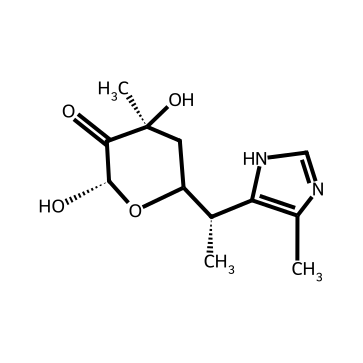 Cc1nc[nH]c1[C@H](C)C1C[C@](C)(O)C(=O)[C@@H](O)O1